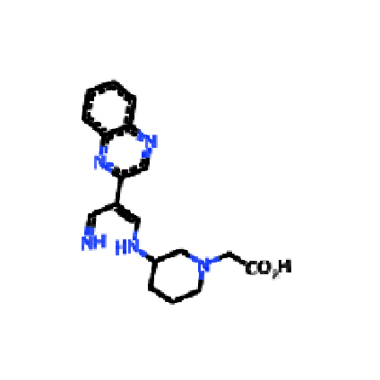 N=C/C(=C\NC1CCCN(CC(=O)O)C1)c1cnc2ccccc2n1